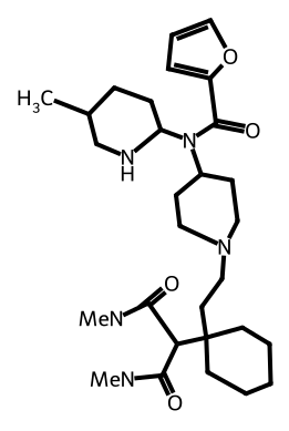 CNC(=O)C(C(=O)NC)C1(CCN2CCC(N(C(=O)c3ccco3)C3CCC(C)CN3)CC2)CCCCC1